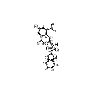 CC(C)c1cc(F)cc(C(C)C)c1CC(=O)NS(=O)(=O)c1cc2ccccc2o1